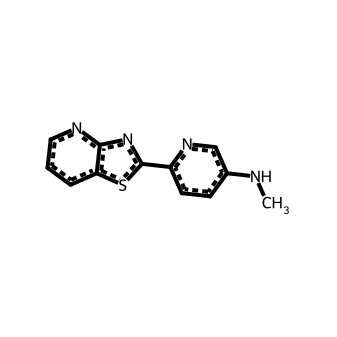 CNc1ccc(-c2nc3ncccc3s2)nc1